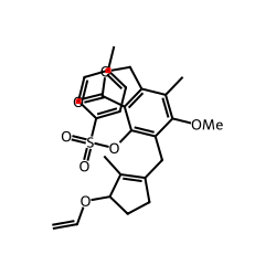 C=COC1CCC(Cc2c(OC)c(C)c3c(c2OS(=O)(=O)c2ccc(C)cc2)C(=O)OC3)=C1C